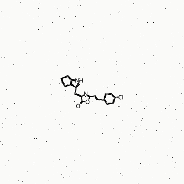 O=C1OC(/C=C/c2ccc(Cl)cc2)=NC/1=C\c1c[nH]c2ccccc12